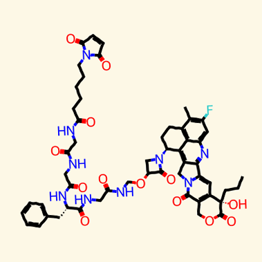 CCC[C@@]1(O)C(=O)OCc2c1cc1n(c2=O)Cc2c-1nc1cc(F)c(C)c3c1c2[C@@H](N1CC(OCNC(=O)CNC(=O)[C@H](Cc2ccccc2)NC(=O)CNC(=O)CNC(=O)CCCCCN2C(=O)C=CC2=O)C1=O)CC3